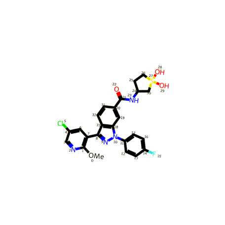 COc1ncc(Cl)cc1-c1nn(-c2ccc(F)cc2)c2cc(C(=O)NC3CCS(O)(O)C3)ccc12